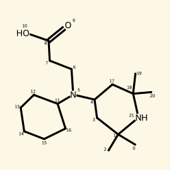 CC1(C)CC(N(CCC(=O)O)C2CCCCC2)CC(C)(C)N1